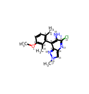 COc1ccc(C)c(-c2c(N)c(Cl)nc3cn(C)nc23)c1C